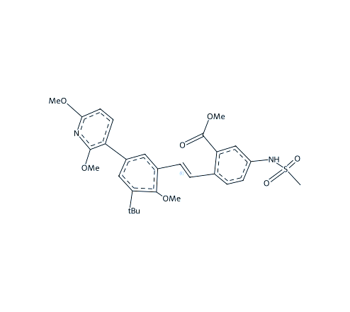 COC(=O)c1cc(NS(C)(=O)=O)ccc1/C=C/c1cc(-c2ccc(OC)nc2OC)cc(C(C)(C)C)c1OC